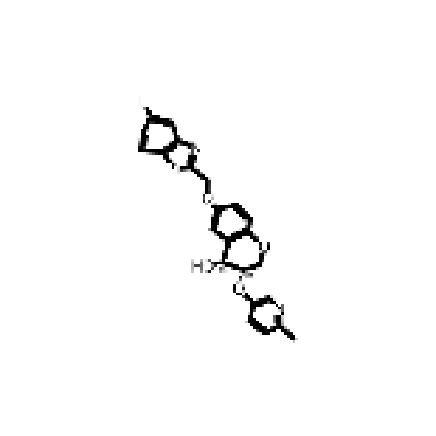 Cc1ccc(O[C@H]2COc3ccc(OCc4nc5cc(F)ccc5s4)cc3[C@H]2O)cn1